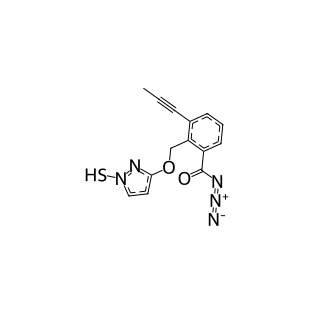 CC#Cc1cccc(C(=O)N=[N+]=[N-])c1COc1ccn(S)n1